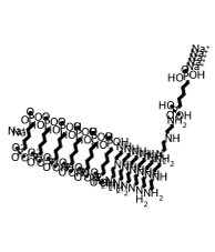 NCCNCCN.NCCNCCN.NCCNCCN.NCCNCCN.NCCNCCN.NCCNCCN.NCCNCCN.O=P(O)(O)CCCCCP(=O)(O)O.O=P(O)(O)CCCCCP(=O)(O)O.O=P(O)(O)CCCCCP(=O)(O)O.O=P(O)(O)CCCCCP(=O)(O)O.O=P(O)(O)CCCCCP(=O)(O)O.O=P([O-])([O-])CCCCCP(=O)([O-])O.O=P([O-])([O-])CCCCCP(=O)([O-])[O-].[Na+].[Na+].[Na+].[Na+].[Na+].[Na+].[Na+]